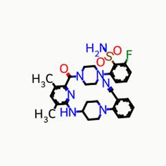 Cc1cc(C)c(C(=O)N2CCN(c3cccc(F)c3S(N)(=O)=O)CC2)nc1NC1CCN(c2ccccc2C#N)CC1